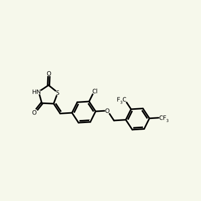 O=C1NC(=O)C(=Cc2ccc(OCc3ccc(C(F)(F)F)cc3C(F)(F)F)c(Cl)c2)S1